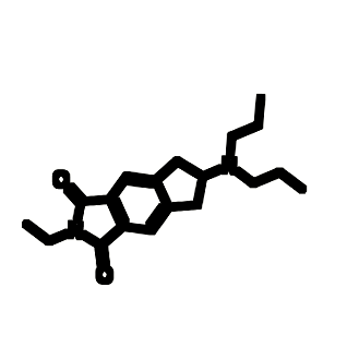 CCCN(CCC)C1Cc2cc3c(cc2C1)C(=O)N(CC)C3=O